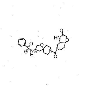 O=C1COC2CCN(C(=O)N3CCC4(CC3)C[C@@H](NS(=O)(=O)c3ccccc3)CO4)CC2N1